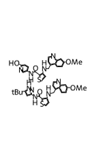 COc1ccc2c(CNc3ccsc3C(=O)Nc3cc(C(C)(C)C)[nH]n3)ccnc2c1.COc1ccc2c(CNc3ccsc3C(=O)Nc3ccc(O)nc3)ccnc2c1